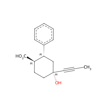 CC#C[C@@]1(O)CC[C@@H](C(=O)O)[C@H](c2ccccc2)C1